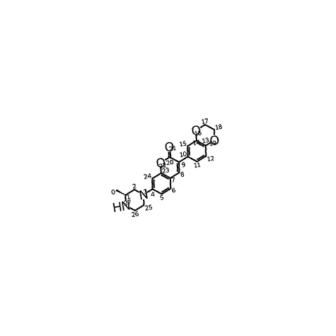 C[C@H]1CN(c2ccc3cc(-c4ccc5c(c4)OCCO5)c(=O)oc3c2)CCN1